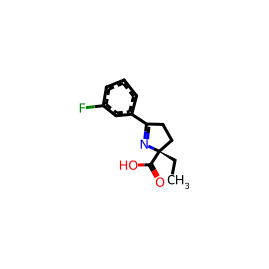 CC[C@]1(C(=O)O)CCC(c2cccc(F)c2)=N1